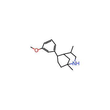 COc1cccc(C2CCC3(C)CC2C(C)CN3)c1